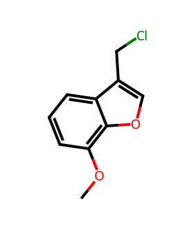 COc1cccc2c(CCl)coc12